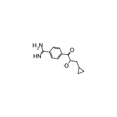 N=C(N)c1ccc(C(=O)C([O])CC2CC2)cc1